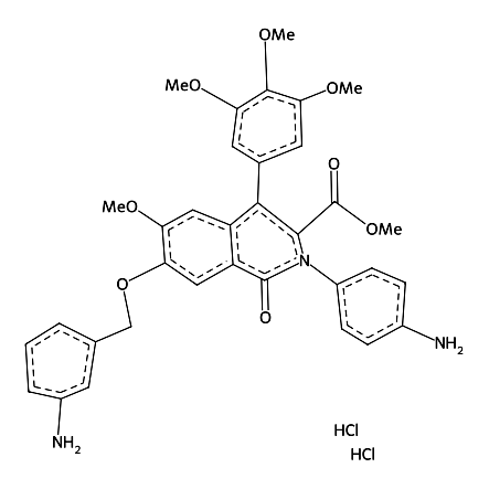 COC(=O)c1c(-c2cc(OC)c(OC)c(OC)c2)c2cc(OC)c(OCc3cccc(N)c3)cc2c(=O)n1-c1ccc(N)cc1.Cl.Cl